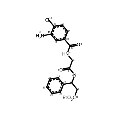 CCOC(=O)CC(NC(=O)CNC(=O)c1ccc(Cl)c(N)c1)c1ccccc1